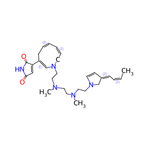 C/C=C\C=C1\C=CN(CCN(C)CCN(C)CCN2/C=C(/C3=CC(=O)NC3=O)C/C=C\C=C/C2)C1